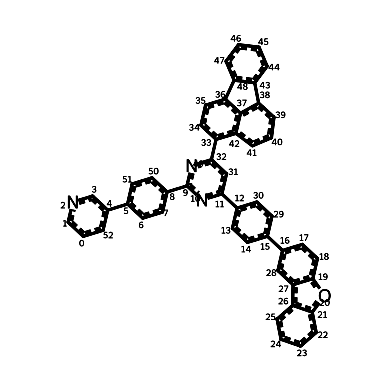 c1cncc(-c2ccc(-c3nc(-c4ccc(-c5ccc6oc7ccccc7c6c5)cc4)cc(-c4ccc5c6c(cccc46)-c4ccccc4-5)n3)cc2)c1